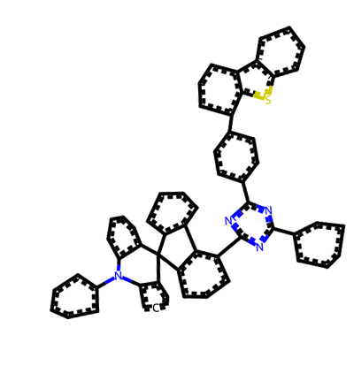 c1ccc(-c2nc(-c3ccc(-c4cccc5c4sc4ccccc45)cc3)nc(-c3cccc4c3-c3ccccc3C43c4ccccc4N(c4ccccc4)c4ccccc43)n2)cc1